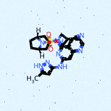 Cc1cc(Nc2cc3ncccc3c(N[C@H]3C[C@H]4CC[C@@H](C3)N4S(=O)(=O)N3CC(C#N)C3)n2)n[nH]1